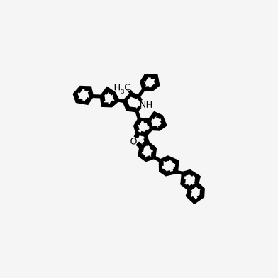 CC1=C(c2ccccc2)NC(c2cc3oc4ccc(-c5ccc(-c6ccc7ccccc7c6)cc5)cc4c3c3ccccc23)=C=C1c1ccc(-c2ccccc2)cc1